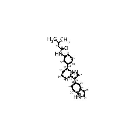 CC(C)CC(=O)Nc1cccc(-c2ccnc3c(-c4ccc5[nH]ccc5c4)cnn23)c1